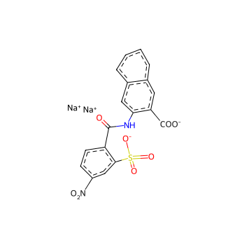 O=C([O-])c1cc2ccccc2cc1NC(=O)c1ccc([N+](=O)[O-])cc1S(=O)(=O)[O-].[Na+].[Na+]